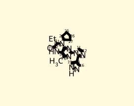 CC[C@@H]1C(=O)Nc2c(C)nc(-n3ccnc3-c3cn[nH]c3)nc2N1C1CCCC1